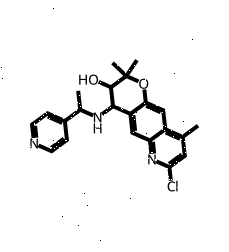 Cc1cc(Cl)nc2cc3c(cc12)OC(C)(C)C(O)C3NC(C)c1ccncc1